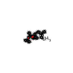 Cc1cccc(-c2nc(-c3ccccc3)nc(-c3cccc(-c4ccc(-c5ccc6c7cc(-n8c9ccccc9c9ccccc98)ccc7n(-c7ccccc7)c6c5)c(-n5c6ccccc6c6ccccc65)c4)c3)n2)c1